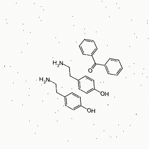 NCCc1ccc(O)cc1.NCCc1ccc(O)cc1.O=C(c1ccccc1)c1ccccc1